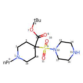 CCCN1CCC(C(=O)OC(C)(C)C)(S(=O)(=O)N2CCNCC2)CC1